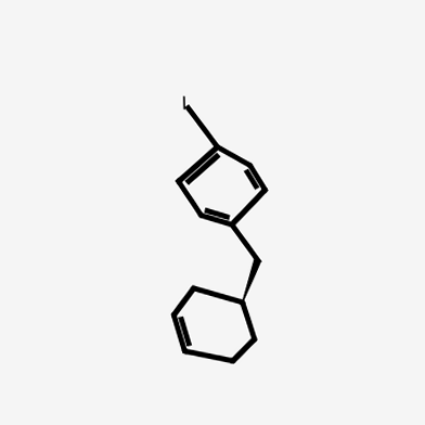 Ic1ccc(C[C@@H]2CC=CCC2)cc1